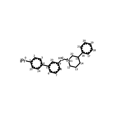 CC(C)c1ccc(-c2cccc(SN3CCCC(c4ccccc4)C3)c2)cc1